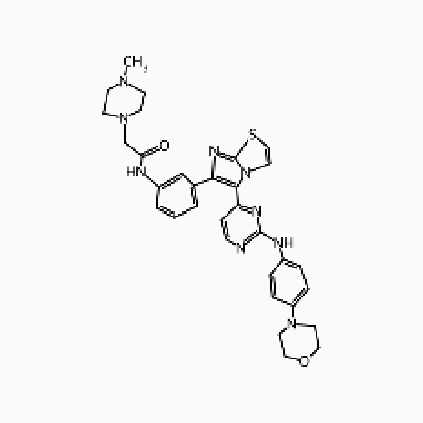 CN1CCN(CC(=O)Nc2cccc(-c3nc4sccn4c3-c3ccnc(Nc4ccc(N5CCOCC5)cc4)n3)c2)CC1